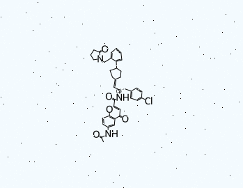 CC(=O)Nc1ccc2oc(C(=O)N[C@H](C=C3CCC(c4ccccc4CN4CCCC4=O)CC3)Cc3ccc(Cl)cc3)cc(=O)c2c1